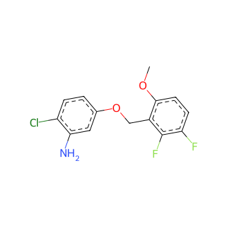 COc1ccc(F)c(F)c1COc1ccc(Cl)c(N)c1